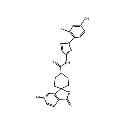 O=C1OC2(CCC(C(=O)Nc3ccn(-c4ccc(O)cc4F)n3)CC2)c2c[n+]([O-])ccc21